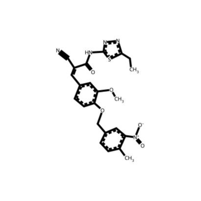 CCc1nnc(NC(=O)C(C#N)=Cc2ccc(OCc3ccc(C)c([N+](=O)[O-])c3)c(OC)c2)s1